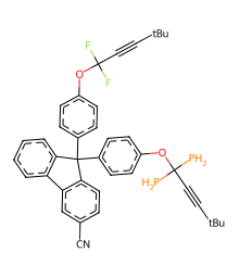 CC(C)(C)C#CC(F)(F)Oc1ccc(C2(c3ccc(OC(P)(P)C#CC(C)(C)C)cc3)c3ccccc3-c3cc(C#N)ccc32)cc1